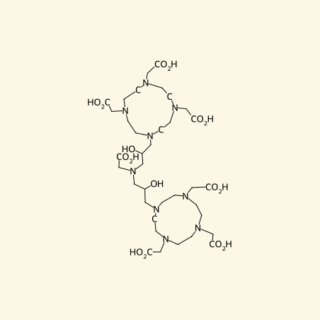 O=C(O)CN1CCN(CC(=O)O)CCN(CC(O)CN(CC(=O)O)CC(O)CN2CCN(CC(=O)O)CCN(CC(=O)O)CCN(CC(=O)O)CC2)CCN(CC(=O)O)CC1